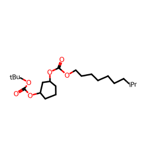 CC(C)CCCCCCCOC(=O)OC1CCCC(OC(=O)OC(C)(C)C)C1